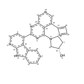 O[C@H]1CCN(c2nc(-c3ccnc4[nH]c5ccccc5c34)nc3cncc(C4=CC=C4)c23)C1